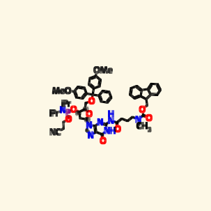 COc1ccc(C(OC[C@H]2O[C@@H](n3cnc4c(=O)[nH]c(NC(=O)CCCN(C)C(=O)OCC5c6ccccc6-c6ccccc65)nc43)C[C@H]2OP(OCCC#N)N(C(C)C)C(C)C)(c2ccccc2)c2ccc(OC)cc2)cc1